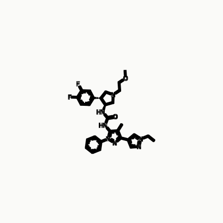 CCn1cc(-c2nn(-c3ccccc3)c(NC(=O)N[C@@H]3CN(CCOC)C[C@H]3c3ccc(F)c(F)c3)c2C)cn1